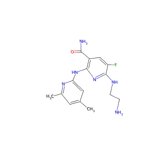 Cc1cc(C)nc(Nc2nc(NCCN)c(F)cc2C(N)=O)c1